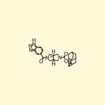 O=C(OCC12CC3CC4CC(C3)C1C2C4)N1C[C@@H]2CN(C(=O)c3ccc4[nH]nnc4c3)C[C@@H]2C1